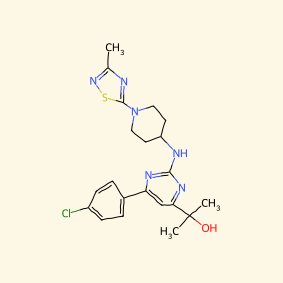 Cc1nsc(N2CCC(Nc3nc(-c4ccc(Cl)cc4)cc(C(C)(C)O)n3)CC2)n1